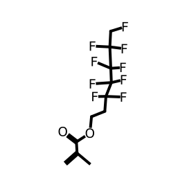 C=C(C)C(=O)OCCC(F)(F)C(F)(F)C(F)(F)C(F)(F)CF